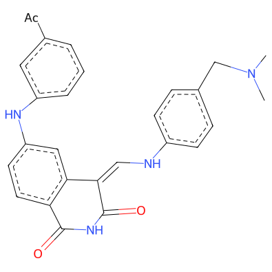 CC(=O)c1cccc(Nc2ccc3c(c2)C(=CNc2ccc(CN(C)C)cc2)C(=O)NC3=O)c1